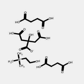 C[N+](C)(C)CCO.O=C(O)CC(O)(CC(=O)O)C(=O)[O-].O=C(O)CCC(=O)O.O=C(O)CCC(=O)O